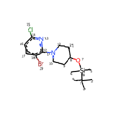 CC(C)(C)[Si](C)(C)OC1CCN(c2nc(Cl)ccc2Br)CC1